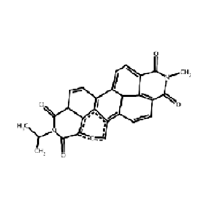 CC(C)N1C(=O)c2ccc3c4c2C(C=CC=4C2=CC=C4C(=O)N(C)C(=O)C5=C4C2C=3C=C5)C1=O